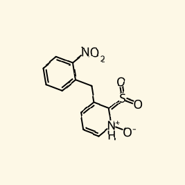 O=[N+]([O-])c1ccccc1CC1=CC=C[NH+]([O-])C1=S(=O)=O